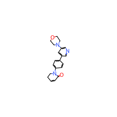 O=C1C=CCCN1c1ccc(-c2cncc(N3CCOCC3)c2)cc1